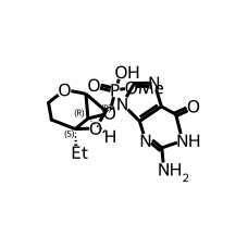 CC[C@@]12CCOC([C@H](n3cnc4c(=O)[nH]c(N)nc43)O1)[C@H]2OP(=O)(O)OC